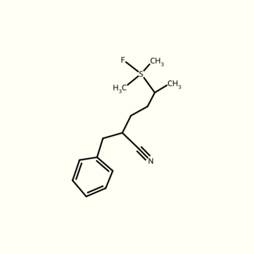 CC(CCC(C#N)Cc1ccccc1)S(C)(C)F